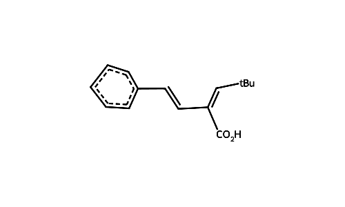 CC(C)(C)C=C(C=Cc1ccccc1)C(=O)O